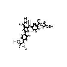 CC(O)Cc1ccc(-c2cc(C(N)=O)c(Nc3cccc(C(=O)N4CC(O)C4)n3)s2)c(F)c1